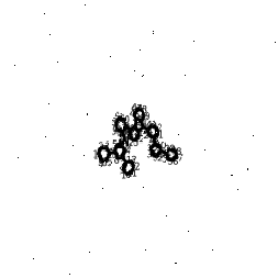 C1=CCCC(c2cc(-c3ccccc3)cc(-n3c4c(c5c6c(ccc53)C(C3C=C(c5cccc(-c7ccccc7)c5)C=CC3)C3=C6C=CCC3)C=CCC4)c2)=C1